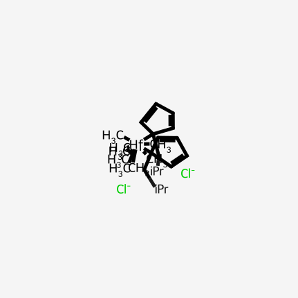 CC(C)C[C]1([Hf]([CH3])([CH3])([CH3])([CH3])([CH3])([CH3])([CH3])([CH3])[C]2(CC(C)C)C=CC=C2)C=CC=C1.[Cl-].[Cl-]